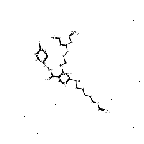 C=CCCCCCCNc1ncc(C(=O)NCc2ccc(F)cc2)c(NCCCC(CC=C)CCO)n1